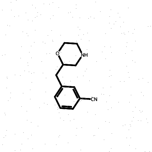 N#Cc1cccc(CC2CNCCO2)c1